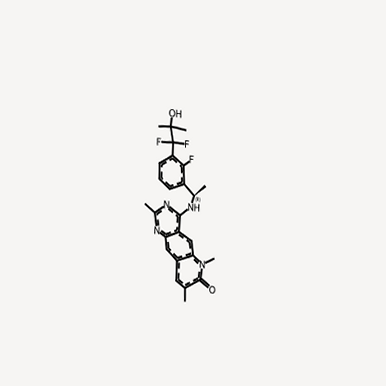 Cc1nc(N[C@H](C)c2cccc(C(F)(F)C(C)(C)O)c2F)c2cc3c(cc(C)c(=O)n3C)cc2n1